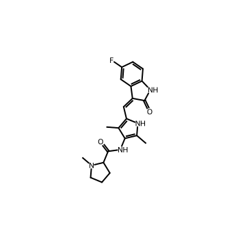 Cc1[nH]c(/C=C2\C(=O)Nc3ccc(F)cc32)c(C)c1NC(=O)C1CCCN1C